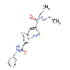 CCCN(CCC)C(=O)C1=Cc2ccc(C(=O)Nc3ccccc3)cc2N=CC1